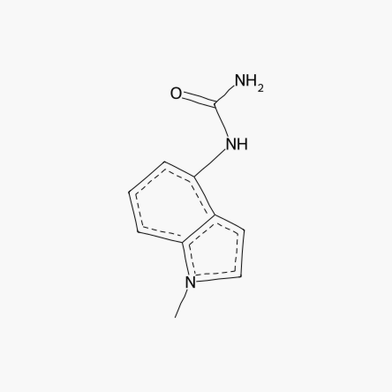 Cn1ccc2c(NC(N)=O)cccc21